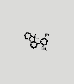 CC(C)c1ccc(N)c(-c2cccc3c2C(C)(C)c2ccccc2-3)c1